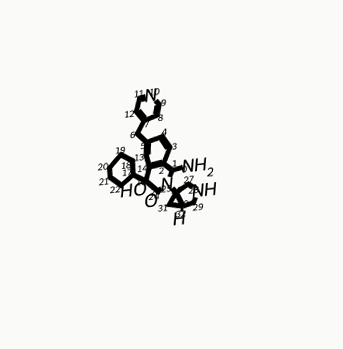 NC1c2ccc(Cc3ccncc3)cc2C(O)(C2CCCCC2)C(=O)N1C12CNC[C@@H]1C2